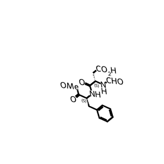 COC(=O)[C@H](Cc1ccccc1)NC(=O)[C@H](CC(=O)O)NC=O